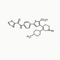 CCN1CCC(c2cc(-c3ccc(NC(=O)c4nccs4)cc3)sc2C(=O)O)=C(C2CCC(C)CC2)C1